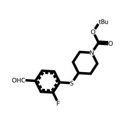 CC(C)(C)OC(=O)N1CCC(Sc2ccc(C=O)cc2F)CC1